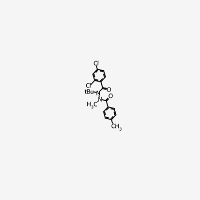 Cc1ccc(C(=O)N(C)N(C(=O)c2ccc(Cl)cc2Cl)C(C)(C)C)cc1